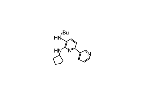 CCC(C)Nc1ccc(-c2cccnc2)nc1NC1CCCC1